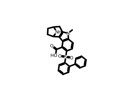 Cn1c2c(c3c(C(=O)O)c(S(=O)(=O)c4ccccc4-c4ccccc4)ccc31)C1CCC(C2)N1